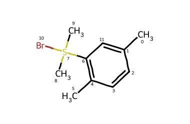 Cc1ccc(C)c(S(C)(C)Br)c1